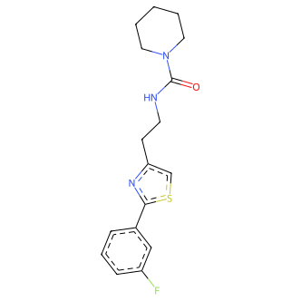 O=C(NCCc1csc(-c2cccc(F)c2)n1)N1CCCCC1